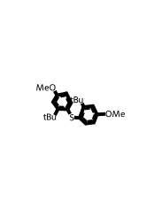 COc1ccc(Sc2ccc(OC)cc2C(C)(C)C)c(C(C)(C)C)c1